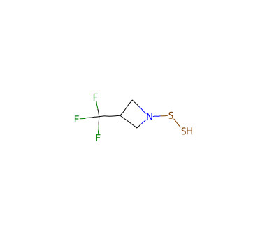 FC(F)(F)C1CN(SS)C1